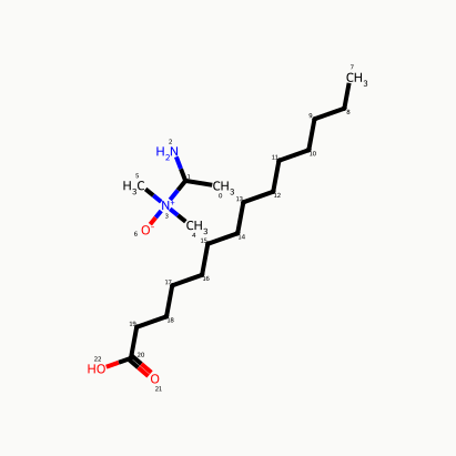 CC(N)[N+](C)(C)[O-].CCCCCCCCCCCCCC(=O)O